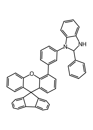 c1ccc(C2Nc3ccccc3N2c2cccc(-c3cccc4c3Oc3ccccc3C43c4ccccc4-c4ccccc43)c2)cc1